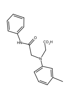 Cc1cccc(N(CC(=O)O)CC(=O)Nc2ccccc2)c1